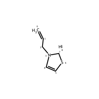 C=CCN1C=CSC1.I